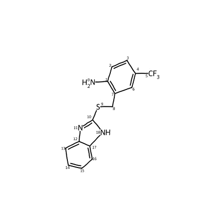 Nc1ccc(C(F)(F)F)cc1CSc1nc2ccccc2[nH]1